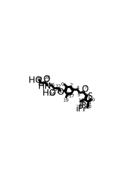 Cc1cc(CCC(=O)c2scc(CC(C)C)c2CC(C)C)cc(C)c1OCC(O)CNC(=O)CO